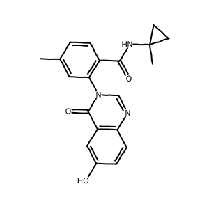 Cc1ccc(C(=O)NC2(C)CC2)c(-n2cnc3ccc(O)cc3c2=O)c1